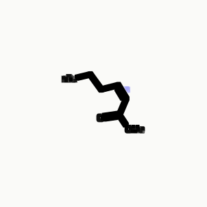 CCCCCC/C=C\C(=O)OC